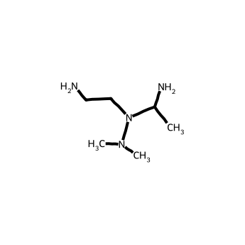 CC(N)N(CCN)N(C)C